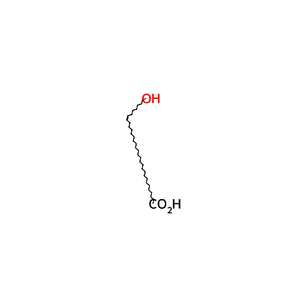 O=C(O)CCCCCCCCCCCCCCCCCCCCCCC/C=C\CCCCCCO